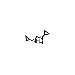 C(NC1CC1)NC1CC1